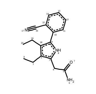 CCc1c(CC(N)=O)[nH]c(-c2ccccc2C#N)c1CC